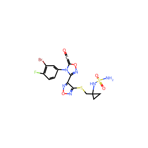 NS(=O)(=O)NC1(CSc2nonc2C2=NOC(=C=O)N2c2ccc(F)c(Br)c2)CC1